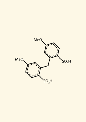 COc1ccc(S(=O)(=O)O)c(Cc2cc(OC)ccc2S(=O)(=O)O)c1